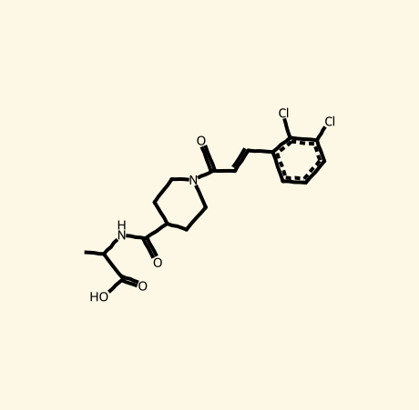 CC(NC(=O)C1CCN(C(=O)C=Cc2cccc(Cl)c2Cl)CC1)C(=O)O